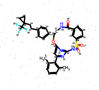 Cc1cccc(C)c1-c1cc2nc(n1)NS(=O)(=O)c1cccc(c1)C(=O)NC[C@@H](c1ccc(CCC3(C(F)(F)F)CC3)cc1)O2